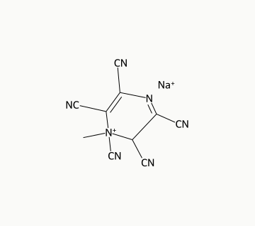 C[N+]1(C#N)C(C#N)=C(C#N)N=C(C#N)C1C#N.[Na+]